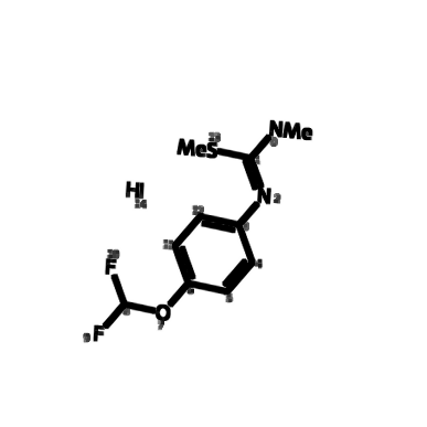 CN/C(=N/c1ccc(OC(F)F)cc1)SC.I